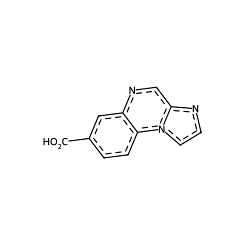 O=C(O)c1ccc2c(c1)ncc1nccn12